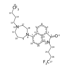 O=C1c2cccc3c(N4CCCN(CCCC(F)(F)F)CC4)ccc(c23)N1CCCC(F)(F)F